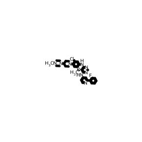 COc1cc(N2CCC(N3CCN(C)CC3)CC2)c(Cl)cc1Nc1cc(Nc2ccnc(-c3ccccc3F)c2)ncn1